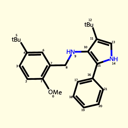 COc1ccc(C(C)(C)C)cc1CNc1c(C(C)(C)C)c[nH]c1-c1ccccc1